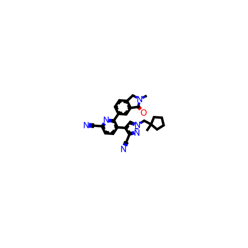 CN1Cc2ccc(-c3nc(C#N)ccc3-c3cn(CC4(C)CCCC4)nc3C#N)cc2C1=O